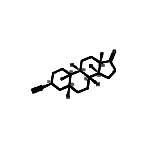 C#C[C@H]1CC[C@@]2(C)[C@@H](CC[C@@H]3[C@@H]2CC[C@]2(C)C(=O)CC[C@@H]32)C1